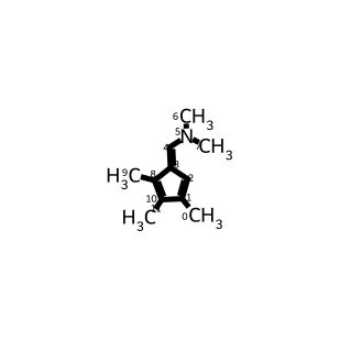 CC1=CC(=CN(C)C)C(C)=C1C